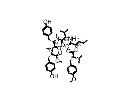 CC[C@@H](C)[C@H](OC(=O)[C@@H](Cc1ccc(OC)cc1)N(C)C)C(=O)N[C@H](C(=O)N(C)[C@@H](Cc1ccc(O)cc1)C(=O)N(C)[C@@H](Cc1ccc(O)cc1)C(=O)OC)C(C)C